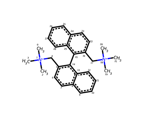 C[N+](C)(C)Cc1ccc2ccccc2c1-c1c(C[N+](C)(C)C)ccc2ccccc12